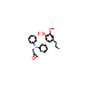 CCCc1ccc(O)c(OC)c1.c1ccc(N(CC2CO2)c2ccccc2)cc1